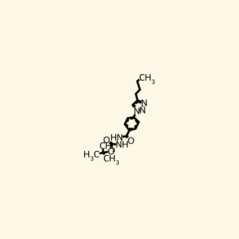 CCCCc1cn(-c2ccc(C(=O)NNC(=O)OC(C)(C)C)cc2)nn1